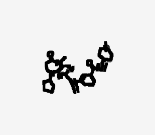 CN1CCC(NC(=O)c2cccc(Nc3ncc4c(n3)N(C3CCCC3)CCC(=O)N4C)c2)CC1